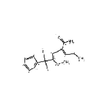 CC/C=C(/C=C(\OC)C(F)(F)c1ccccc1)C(N)=O